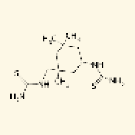 CC1(C)CC(NC(N)=S)CC(C)(CNC(N)=S)C1